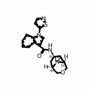 CN1[C@@H]2COC[C@H]1C[C@@H](NC(=O)c1cn(-c3ccns3)c3ccccc13)C2